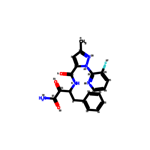 Cc1cc(C(=O)NC(Cc2ccccc2)C(=O)C(N)=O)n(-c2ncccc2F)n1